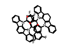 Fc1cc(F)cc(-c2cc(-n3c4c(c5ccccc53)CCc3c-4n(-c4ccccc4)c4ccccc34)c(C(F)(F)F)cc2-n2c3ccccc3c3ccc4c5ccccc5n(-c5ccccc5)c4c32)c1